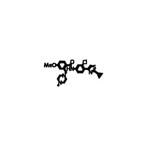 COc1ccc(C(=O)Nc2ccc(-c3csc(C4CC4)n3)c(Cl)c2)c(CN2CCN(C)CC2)c1